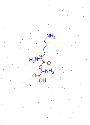 NCCCC[C@H](N)C(=O)OC(N)C(=O)O